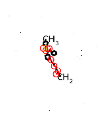 C=CC(=O)OCCOCCOc1cccc(C(OS(=O)(=O)c2ccc(C)cc2)C(=O)c2ccccc2)c1